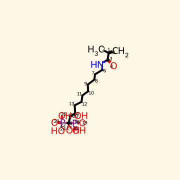 C=C(C)C(=O)NCCCCCCCCCCC(O)(P(=O)(O)O)P(=O)(O)O